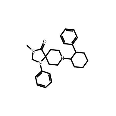 CN1CN(c2ccccc2)C2(CCN(C3CCCCC3c3ccccc3)CC2)C1=O